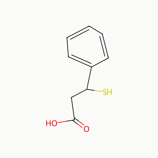 O=C(O)CC(S)c1ccccc1